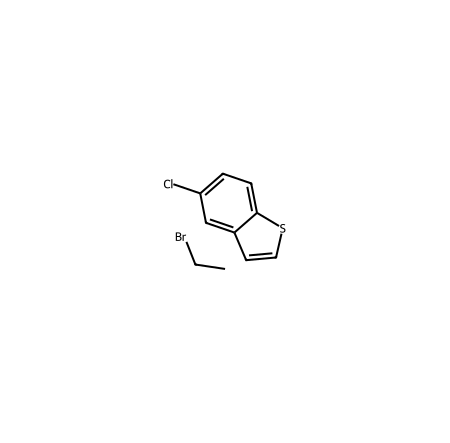 CCBr.Clc1ccc2sccc2c1